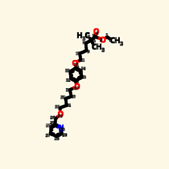 CCOC(=O)C(C)(C)CCCCOc1ccc(OCCCCCOCc2ccccn2)cc1